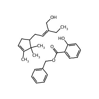 CCC(=CCC1CC=C(C)C1(C)C)CO.O=C(OCc1ccccc1)c1ccccc1O